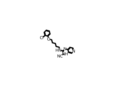 N#CN/C(=N\c1ccncc1)NCCCCCOc1ccccc1Cl